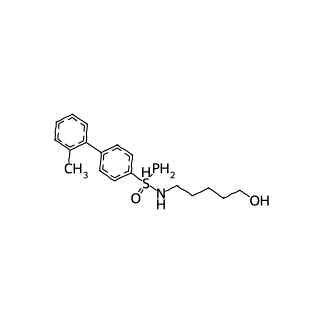 Cc1ccccc1-c1ccc([SH](=O)(P)NCCCCCO)cc1